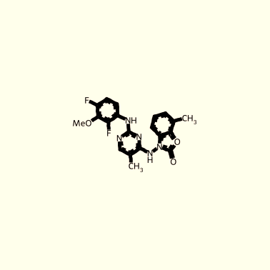 COc1c(F)ccc(Nc2ncc(C)c(Nn3c(=O)oc4c(C)cccc43)n2)c1F